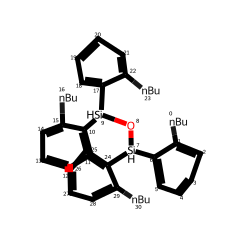 CCCCc1ccccc1[SiH](O[SiH](c1ccccc1CCCC)c1ccccc1CCCC)c1ccccc1CCCC